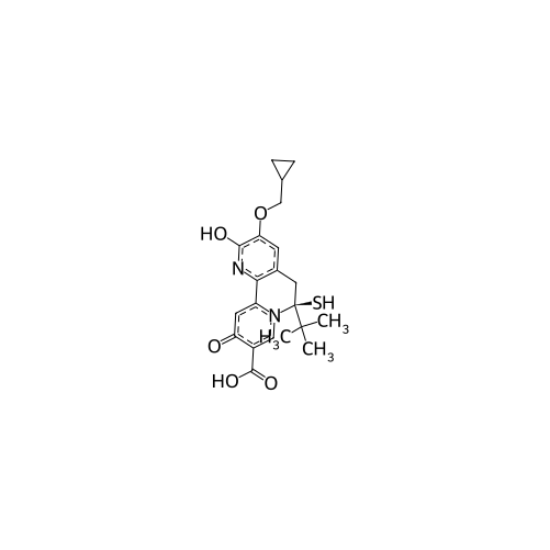 CC(C)(C)[C@@]1(S)Cc2cc(OCC3CC3)c(O)nc2-c2cc(=O)c(C(=O)O)cn21